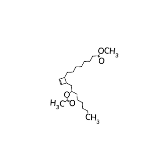 CCCCCCC(CC1C=CC1CCCCCCCC(=O)OC)OC(C)=O